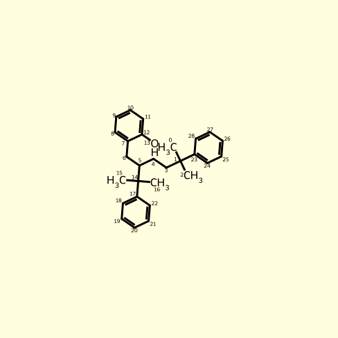 CC(C)(CCC(Cc1ccccc1O)C(C)(C)c1ccccc1)c1ccccc1